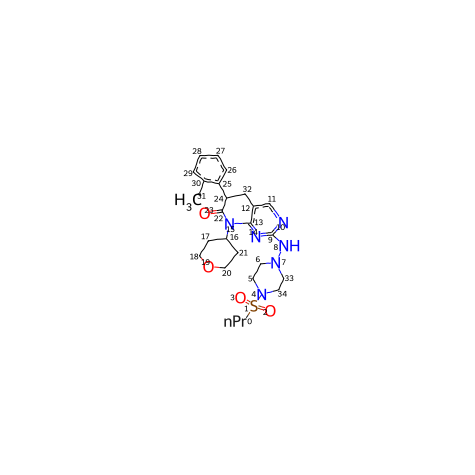 CCCS(=O)(=O)N1CCN(Nc2ncc3c(n2)N(C2CCOCC2)C(=O)C(c2ccccc2C)C3)CC1